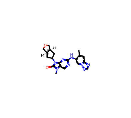 Cc1cc2ncnn2cc1Nc1ncc2c(n1)n(C1C[C@H]3COC[C@H]3C1)c(=O)n2C